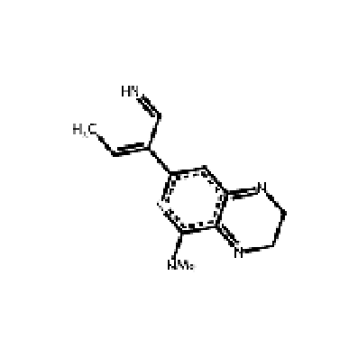 C/C=C(\C=N)c1cc2c(c(NC)n1)=NCCN=2